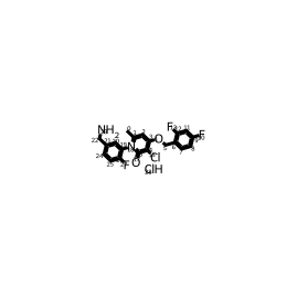 Cc1cc(OCc2ccc(F)cc2F)c(Cl)c(=O)n1-c1cc(CN)ccc1F.Cl